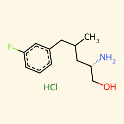 CC(Cc1cccc(F)c1)C[C@H](N)CO.Cl